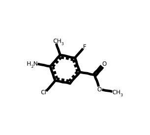 COC(=O)c1cc(Cl)c(N)c(C)c1F